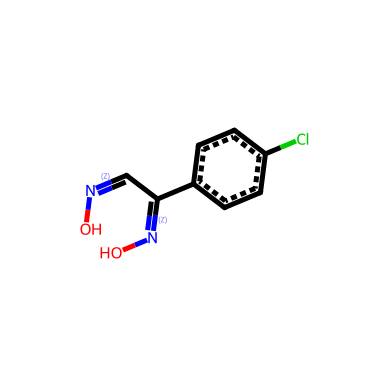 O/N=C\C(=N/O)c1ccc(Cl)cc1